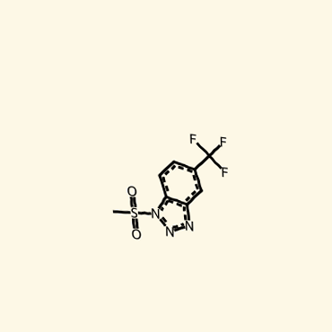 CS(=O)(=O)n1nnc2cc(C(F)(F)F)ccc21